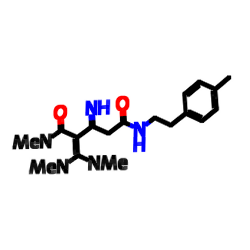 CNC(=O)C(C(=N)CC(=O)NCCc1ccc(C)cc1)=C(NC)NC